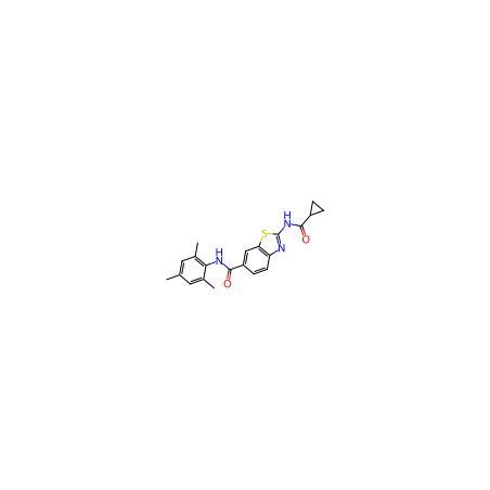 Cc1cc(C)c(NC(=O)c2ccc3nc(NC(=O)C4CC4)sc3c2)c(C)c1